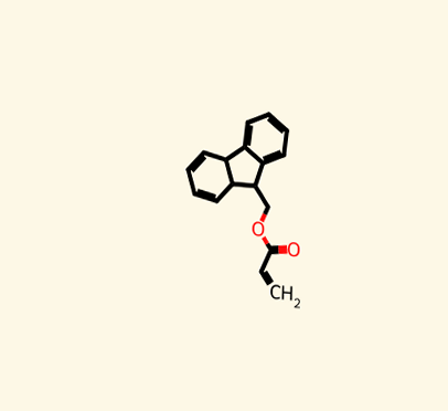 C=CC(=O)OCC1c2ccccc2C2C=CC=CC21